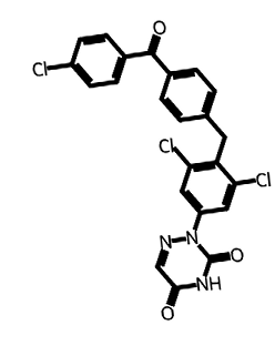 O=C(c1ccc(Cl)cc1)c1ccc(Cc2c(Cl)cc(-n3ncc(=O)[nH]c3=O)cc2Cl)cc1